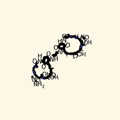 CO[C@H]1/C=C\C=C(/C)C(=O)NC2=CC(=O)C(NCCCNC3=C4C[C@@H](C)C[C@H](OC)[C@H](O)[C@@H](C)/C=C(\CO)[C@H](OC(N)=O)[C@@H](OC)/C=C\C=C(/C)C(=O)NC(=CC3=O)C4=O)=C(C[C@@H](C)C[C@H](OC)[C@H](O)[C@@H](C)/C=C(\CO)[C@@H]1OC(N)=O)C2=O